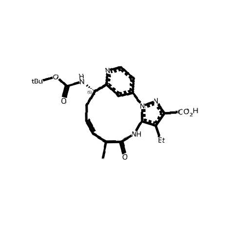 CCc1c(C(=O)O)nn2c1NC(=O)C(C)C=CC[C@H](NC(=O)OC(C)(C)C)c1cc-2ccn1